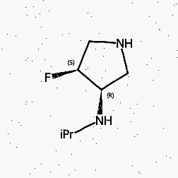 CC(C)N[C@@H]1CNC[C@@H]1F